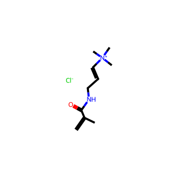 C=C(C)C(=O)NCC=C[N+](C)(C)C.[Cl-]